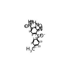 Cc1ccc([S+]([O-])c2ccc([NH+]([O-])O)c3nonc23)cc1